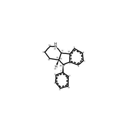 c1ccc([C@@H]2c3ccccc3C3NCCC[C@H]32)cc1